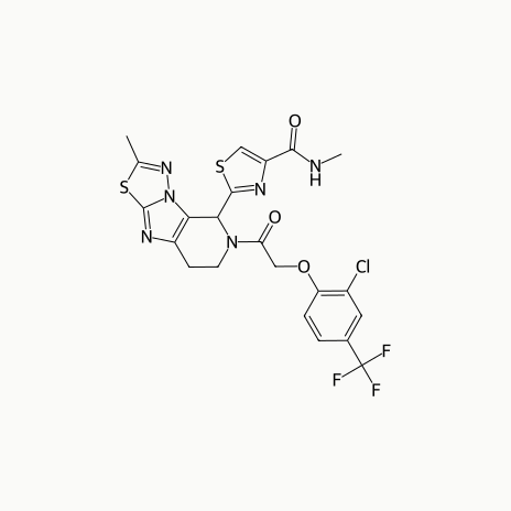 CNC(=O)c1csc(C2c3c(nc4sc(C)nn34)CCN2C(=O)COc2ccc(C(F)(F)F)cc2Cl)n1